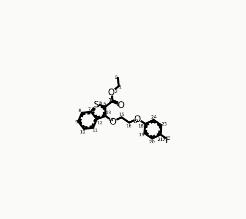 CCOC(=O)c1sc2ccccc2c1OCCOc1ccc(F)cc1